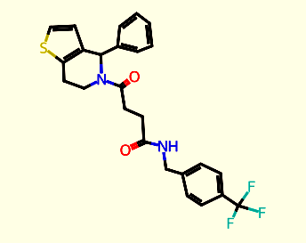 O=C(CCC(=O)N1CCc2sccc2C1c1ccccc1)NCc1ccc(C(F)(F)F)cc1